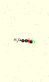 CCC[C@H]1CC[C@H](C2CCC(C(=O)Oc3ccc(Cl)c(F)c3)CC2)CC1